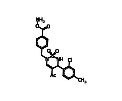 CC(=O)C1=CN(Cc2ccc(C(=O)ON)cc2)S(=O)(=O)NC1c1ccc(C)cc1Cl